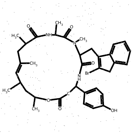 C/C1=C\C(C)CC(C)OC(=O)CC(c2ccc(O)cc2)NC(=O)C(CC2=C(Br)Cc3ccccc32)N(C)C(=O)C(C)NC(=O)C(C)C1